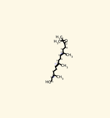 C/C(=C\CO)CC/C=C(\C)CC/C=C(\C)CCC1OC1(C)C